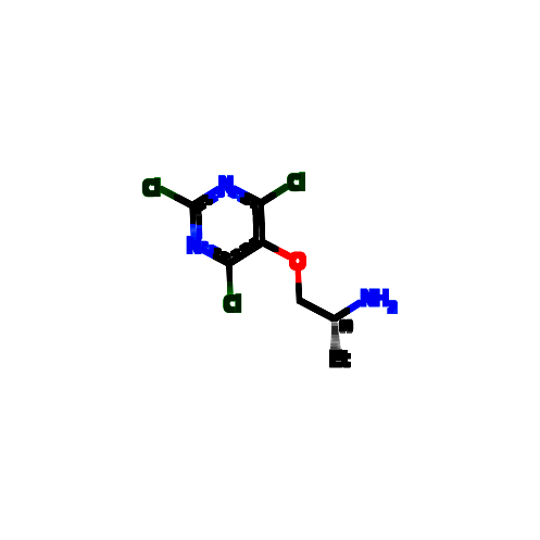 CC[C@@H](N)COc1c(Cl)nc(Cl)nc1Cl